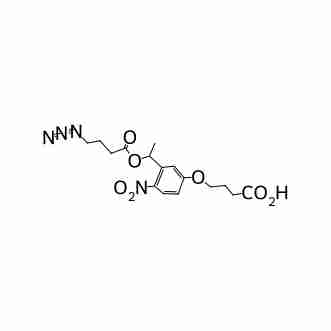 CC(OC(=O)CCCN=[N+]=[N-])c1cc(OCCCC(=O)O)ccc1[N+](=O)[O-]